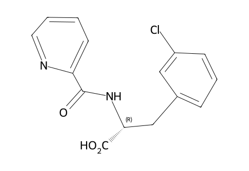 O=C(N[C@H](Cc1cccc(Cl)c1)C(=O)O)c1ccccn1